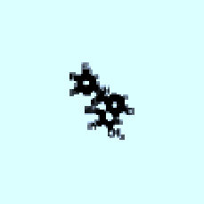 CCC(C)CC(C(C)C)C(C)Sc1cc(C(=O)Nc2cc(F)c(F)c(F)c2)ccc1Cl